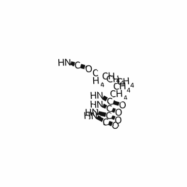 C.C.C.C.C.C.N=C=O.N=C=O.N=C=O.N=C=O.N=C=O